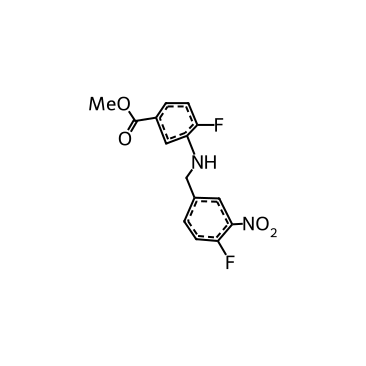 COC(=O)c1ccc(F)c(NCc2ccc(F)c([N+](=O)[O-])c2)c1